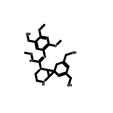 CCc1nc(OC)c(N=C(NOC)N2CCNC3C2C32C=C(CO)C=C(CO)C2)cc1CO